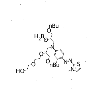 BOC(COCCCC)CN(CC(COCCCC)OCCOCCO)c1ccc(/N=N/c2scc[n+]2C)c(C)c1